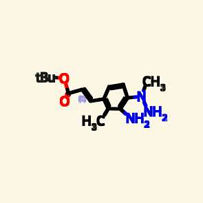 Cc1c(/C=C/C(=O)OC(C)(C)C)ccc(N(C)N)c1N